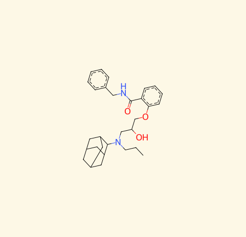 CCCN(CC(O)COc1ccccc1C(=O)NCc1ccccc1)C1C2CC3CC(C2)CC1C3